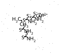 C=CC.NC(=S)[S-].NC(=S)[S-].NC(=S)[S-].NC(=S)[S-].[Cu+2].[Zn+2]